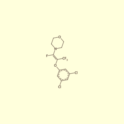 F/C(=C(\Oc1cc(Cl)cc(Cl)c1)C(F)(F)F)N1CCOCC1